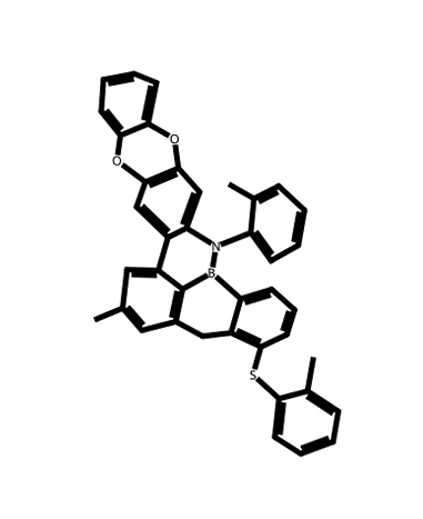 Cc1cc2c3c(c1)-c1cc4c(cc1N(c1ccccc1C)B3c1cccc(Sc3ccccc3C)c1C2)Oc1ccccc1O4